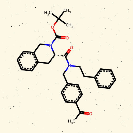 CC(=O)c1ccc(CN(CCc2ccccc2)C(=O)[C@@H]2Cc3ccccc3CN2C(=O)OC(C)(C)C)cc1